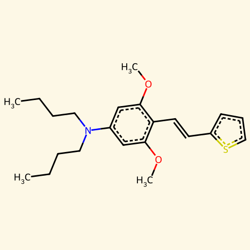 CCCCN(CCCC)c1cc(OC)c(C=Cc2cccs2)c(OC)c1